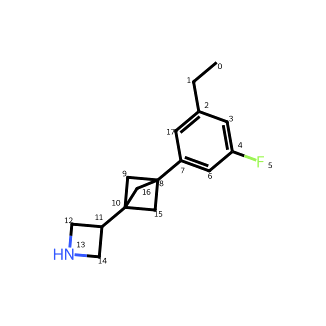 CCc1cc(F)cc(C23CC(C4CNC4)(C2)C3)c1